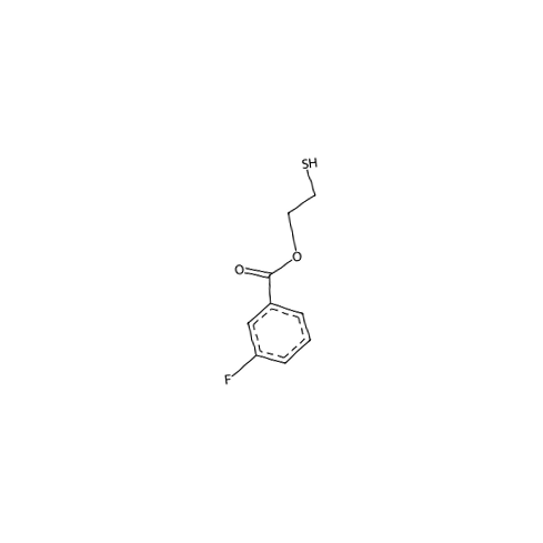 O=C(OCCS)c1cccc(F)c1